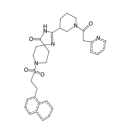 O=C(Cc1ccccn1)N1CCCC(C2=NC3(CCN(S(=O)(=O)CCc4cccc5ccccc45)CC3)C(=O)N2)C1